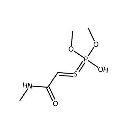 CNC(=O)C=S=P(O)(OC)OC